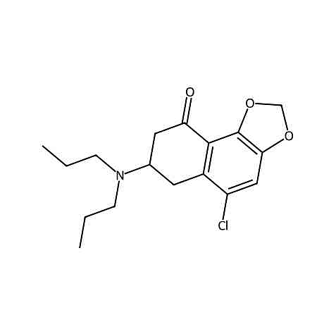 CCCN(CCC)C1CC(=O)c2c(c(Cl)cc3c2OCO3)C1